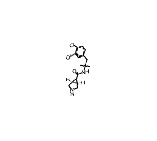 CC(C)(Cc1ccc(Cl)c(Cl)c1)NC(=O)C1[C@H]2CNC[C@@H]12